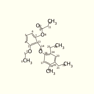 CCOc1cccc(OC(=O)CC)c1COc1cc(C)c(CC)cc1CC